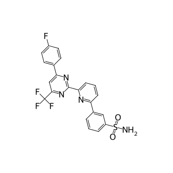 NS(=O)(=O)c1cccc(-c2cccc(-c3nc(-c4ccc(F)cc4)cc(C(F)(F)F)n3)n2)c1